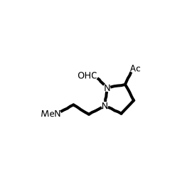 CNCCN1CCC(C(C)=O)N1C=O